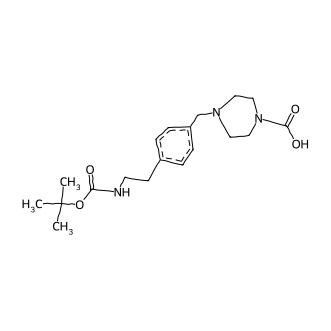 CC(C)(C)OC(=O)NCCc1ccc(CN2CCN(C(=O)O)CC2)cc1